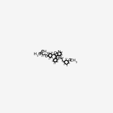 COc1cccc(CCNc2ccnc3oc(-c4ccc(OCCN(C)C)cc4)c(-c4ccccc4)c23)c1